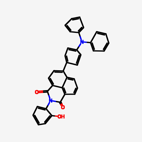 O=C1c2cccc3c(-c4ccc(N(c5ccccc5)c5ccccc5)cc4)ccc(c23)C(=O)N1c1ccccc1O